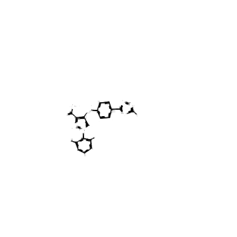 NC(=O)c1nn(-c2c(Cl)cccc2Cl)cc1Nc1ccc(-c2n[nH]c(C(F)(F)F)n2)cc1